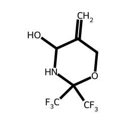 C=C1COC(C(F)(F)F)(C(F)(F)F)NC1O